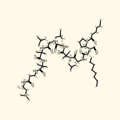 CCCCCCCC[C@H](C(=O)N[C@H](CC(C)C)C(=O)NC(C)(C)C(=O)N[C@@H](CC(C)C)C(=O)N[C@@H](CC(C)C)C(=O)NC(C)(C)C(=O)NC(C)(C)C(=O)NCCC(=O)N[C@@H](C)CN(C)C)N(C=O)[C@H]1CCCN1C(=O)CCCCC